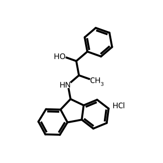 CC(NC1c2ccccc2-c2ccccc21)C(O)c1ccccc1.Cl